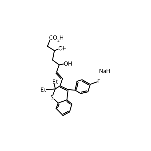 CCC1(CC)Sc2ccccc2C(c2ccc(F)cc2)=C1/C=C/C(O)CC(O)CC(=O)O.[NaH]